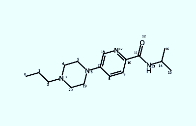 CCCN1CCN(c2ccc(C(=O)NC(C)C)nc2)CC1